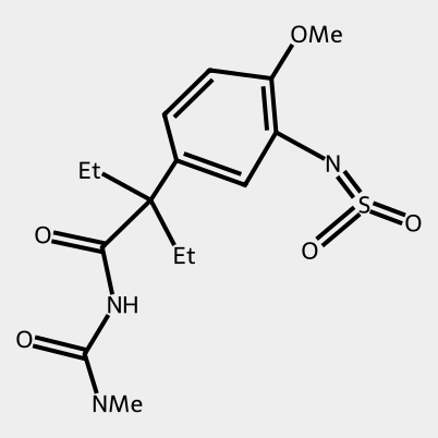 CCC(CC)(C(=O)NC(=O)NC)c1ccc(OC)c(N=S(=O)=O)c1